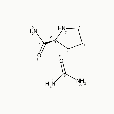 NC(=O)[C@@H]1CCCN1.NC(N)=O